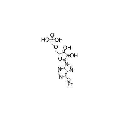 CC(C)Oc1ncnc2c1ncn2[C@@H]1OC(COCP(=O)(O)O)[C@@H](O)[C@H]1O